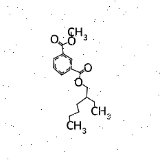 CCCCC(CC)COC(=O)c1cccc(C(=O)OC)c1